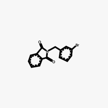 O=C1c2ccccc2C(=O)N1Cc1cccc(Br)c1